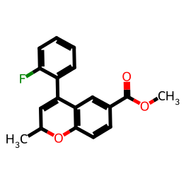 COC(=O)c1ccc2c(c1)C(c1ccccc1F)=CC(C)O2